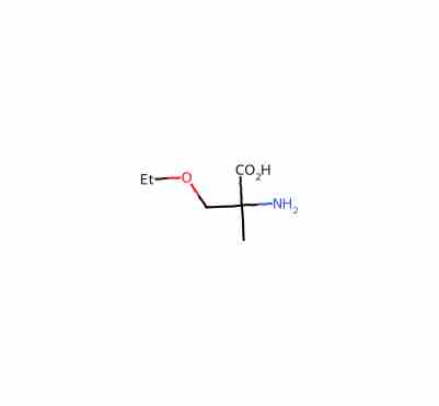 CCOCC(C)(N)C(=O)O